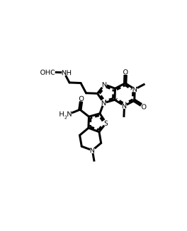 CN1CCc2c(sc(-n3c(CCCNC=O)nc4c(=O)n(C)c(=O)n(C)c43)c2C(N)=O)C1